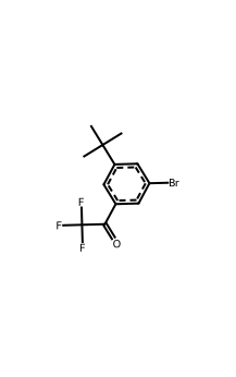 CC(C)(C)c1cc(Br)cc(C(=O)C(F)(F)F)c1